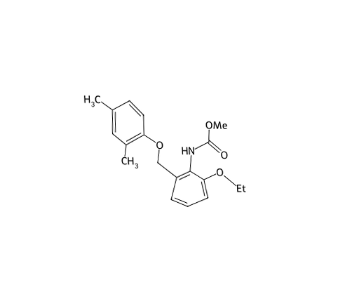 CCOc1cccc(COc2ccc(C)cc2C)c1NC(=O)OC